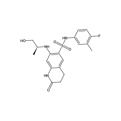 Cc1cc(NS(=O)(=O)c2cc3c(cc2N[C@@H](C)CO)NC(=O)CC3)ccc1F